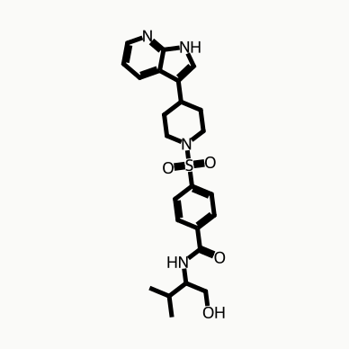 CC(C)C(CO)NC(=O)c1ccc(S(=O)(=O)N2CCC(c3c[nH]c4ncccc34)CC2)cc1